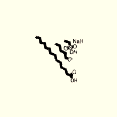 CCCCCCCCCCCCCC(=O)O.CCCCC[O].CCS(=O)(=O)O.[NaH]